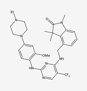 CCN1CCN(c2ccc(Nc3ncc(C(F)(F)F)c(NCc4cccc5c4C(C)(C)C(=O)N5C)n3)c(OC)c2)CC1